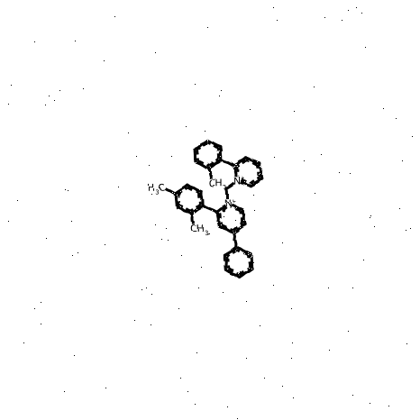 Cc1ccc(-c2cc(-c3ccccc3)cc[n+]2C[n+]2ccccc2-c2ccccc2C)c(C)c1